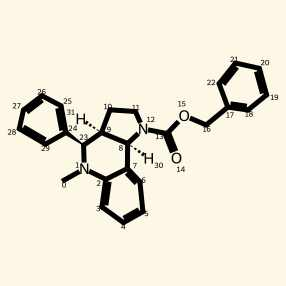 CN1c2ccccc2[C@H]2[C@H](CCN2C(=O)OCc2ccccc2)[C@@H]1c1ccccc1